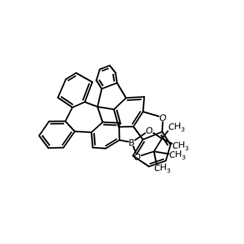 CC1(C)OB(c2ccc3c(c2)C2(c4ccccc4-c4ccccc4-3)c3ccccc3-c3cc4oc5ccccc5c4cc32)OC1(C)C